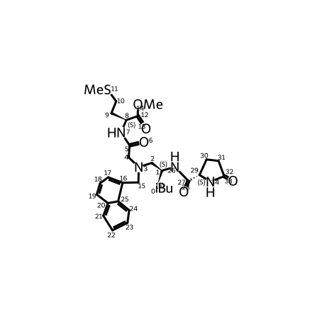 CC[C@H](C)[C@@H](CN(CC(=O)N[C@@H](CCSC)C(=O)OC)Cc1cccc2ccccc12)NC(=O)[C@@H]1CCC(=O)N1